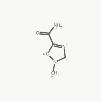 CN1CN=C(C(N)=O)O1